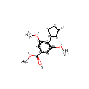 COC(=O)c1cc(OC)c(C2CCCC2)c(OC)c1